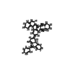 c1ccc(-n2c3ccccc3c3cc(-c4cc5c6nc7ccccc7nc6n6c7ccc8ccccc8c7c(c4)c56)ccc32)cc1